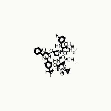 CC[C@@H]1C[C@]1(NC(=O)[C@@H]1C[C@@H](Oc2nc(-c3ccc(C(F)(F)F)cc3)nc3c2oc2ccccc23)CN1C(=O)[C@@H](Nc1cccc(F)c1)C(C)(C)C)C(=O)NS(=O)(=O)C1CC1